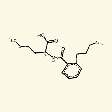 CCCCc1ccccc1C(=O)N[C@@H](CCSC)C(=O)O